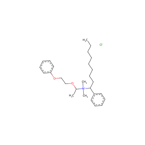 CCCCCCCCC(c1ccccc1)[N+](C)(C)C(C)OCCOc1ccccc1.[Cl-]